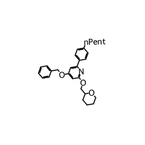 CCCCCc1ccc(-c2cc(OCc3ccccc3)cc(OCC3CCCCO3)n2)cc1